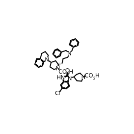 O=C(O)N1CCC(N2CCCc3ccccc32)C[C@@H]1CCCN(Cc1ccccc1)Cc1ccccc1.O=C(O)N1CCC(n2c(=O)[nH]c3cc(Cl)ccc32)CC1